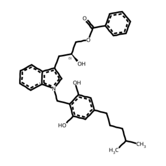 CC(C)CCCc1cc(O)c(Cn2cc(C[C@H](O)COC(=O)c3ccccc3)c3ccccc32)c(O)c1